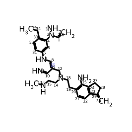 C=CN(N)c1cc(N/C=C(\C=N)CN(CCNC)CCc2ccc3c(c2N)CCC3=C)ccc1CC